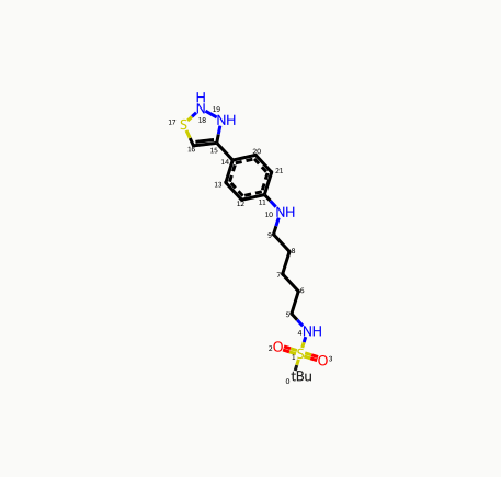 CC(C)(C)S(=O)(=O)NCCCCCNc1ccc(C2=CSNN2)cc1